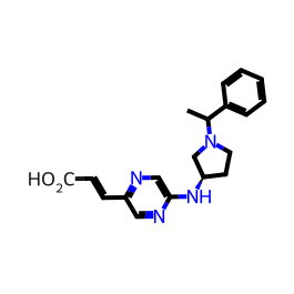 CC(c1ccccc1)N1CC[C@@H](Nc2cnc(C=CC(=O)O)cn2)C1